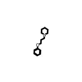 [CH]1CCN(CCCOc2ccccc2)CC1